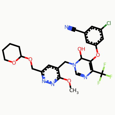 COc1nnc(COC2CCCCO2)cc1CN1C=NC(C(F)(F)F)=C(Oc2cc(Cl)cc(C#N)c2)C1O